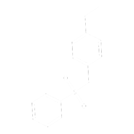 CCc1ccc(CS(=O)(=O)c2ccccc2)cc1